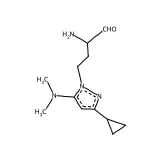 CN(C)c1cc(C2CC2)nn1CCC(N)C=O